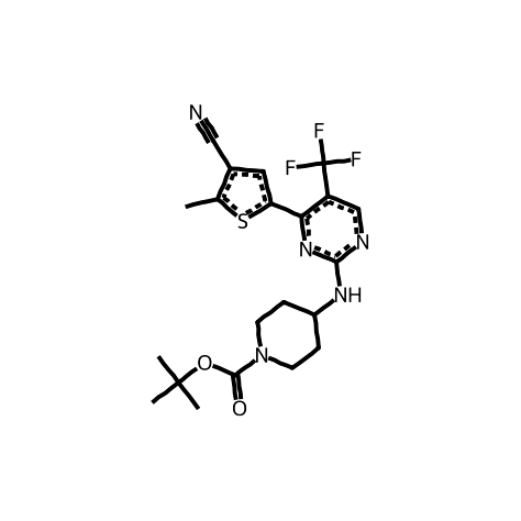 Cc1sc(-c2nc(NC3CCN(C(=O)OC(C)(C)C)CC3)ncc2C(F)(F)F)cc1C#N